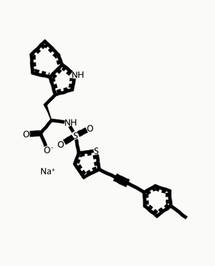 Cc1ccc(C#Cc2ccc(S(=O)(=O)N[C@H](Cc3c[nH]c4ccccc34)C(=O)[O-])s2)cc1.[Na+]